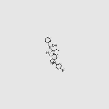 C[C@]12Cc3cnn(-c4ccc(F)cc4)c3C=C1CCC[C@@H]2C[C@@H](O)Cc1ccccc1